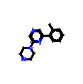 Cc1ccccc1-c1cncc(N2CCNCC2)n1